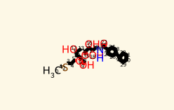 CCSCCCO[C@]1(CO)C[C@H](O)C[C@H]([C@H](O)C(O)CNC(=O)c2ccc(-c3ccccc3)cc2)O1